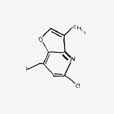 Cc1coc2c(I)cc(Cl)nc12